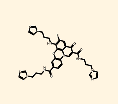 O=C(NCCCn1ccnc1)c1ccc2c(c1)Oc1c(NCCCn3ccnc3)c(F)cc3c(=O)c(C(=O)NCCCn4ccnc4)cn-2c13